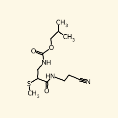 CSC(CNC(=O)OCC(C)C)C(=O)NCCC#N